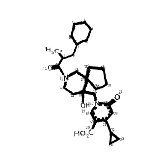 CC(CC1CCCCC1)C(=O)N1CCC(O)(Cn2cc(C(=O)O)c(C3CC3)cc2=O)C2(CCCC2)C1